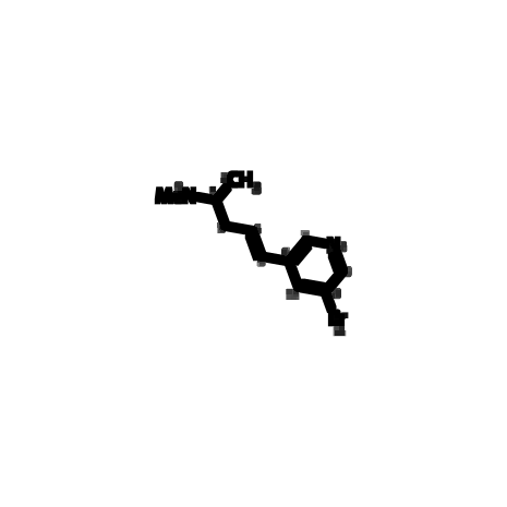 CNC(C)CC=Cc1cncc(Br)c1